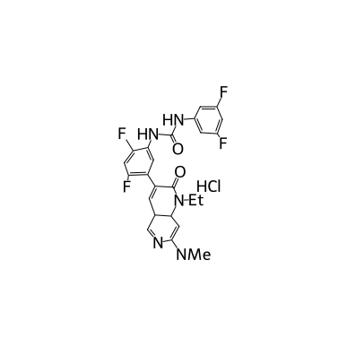 CCN1C(=O)C(c2cc(NC(=O)Nc3cc(F)cc(F)c3)c(F)cc2F)=CC2C=NC(NC)=CC21.Cl